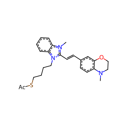 CC(=O)SCCCC[n+]1c(/C=C/c2ccc3c(c2)OCCN3C)n(C)c2ccccc21